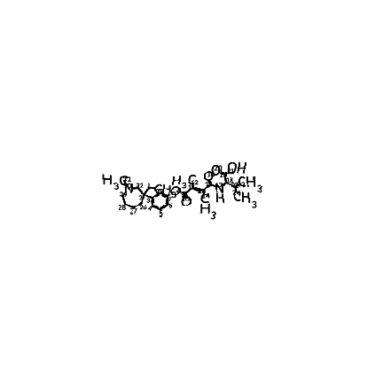 CCC1(c2cccc(OC(=O)/C(C)=C(\C)C(=O)NC(C(=O)O)C(C)C)c2)CCCCN(C)C1